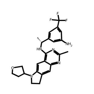 Cc1nc(N[C@H](C)c2cc(N)cc(C(F)(F)F)c2)c2cc3c(cc2n1)CCN3C1CCOC1